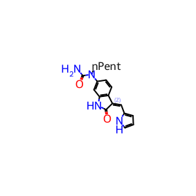 CCCCCN(C(N)=O)c1ccc2c(c1)NC(=O)/C2=C\c1ccc[nH]1